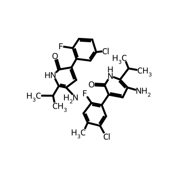 CC(C)c1[nH]c(=O)c(-c2cc(Cl)ccc2F)cc1N.Cc1cc(F)c(-c2cc(N)c(C(C)C)[nH]c2=O)cc1Cl